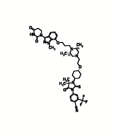 C[C@@H]1CN(CCO[C@H]2CC[C@H](N3C(=S)N(c4ccc(C#N)c(C(F)(F)F)c4)C(=O)C3(C)C)CC2)C[C@H](C)N1CCCOc1cccc2c(N3CCC(=O)NC3=O)nn(C)c12